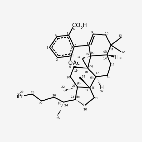 CC(=O)Oc1cccc(C(=O)O)c1C1=CCC(C)(C)[C@@H]2CC[C@@H]3[C@]4(CC[C@]5(C)[C@@H]([C@H](C)CCCC(C)C)CC[C@@]35C)C[C@]124